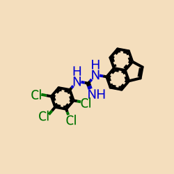 N=C(Nc1cc(Cl)c(Cl)c(Cl)c1Cl)Nc1ccc2c3c(cccc13)C=C2